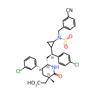 C[C@@]1(CC(=O)O)C[C@H](c2cccc(Cl)c2)[C@H](C[C@H](c2ccc(Cl)cc2)C2CC2N(Cc2cccc(C#N)c2)[SH](=O)=O)NC1=O